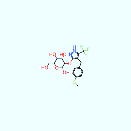 CSc1ccc(Cc2c(O[C@@H]3[C@@H](O)[C@H](O)[C@@H](CO)O[C@H]3O)n[nH]c2C(F)(F)F)cc1